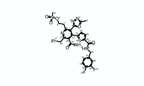 Cc1nnc(-c2c(CCOS(C)(=O)=O)nc(CC(C)C)c(C(N)=O)c2-c2ccc(C(=O)NCc3ccc(F)c(F)c3)s2)o1